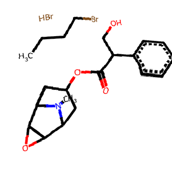 Br.CCCCBr.CN1C2CC(OC(=O)C(CO)c3ccccc3)CC1C1OC12